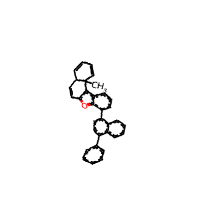 CC12C=CC=CC1C=Cc1oc3c(-c4ccc(-c5ccccc5)c5ccccc45)cccc3c12